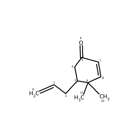 C=CCC1CC(=O)C=CC1(C)C